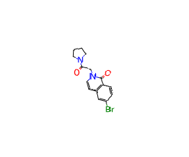 O=C(Cn1ccc2cc(Br)ccc2c1=O)N1CCCC1